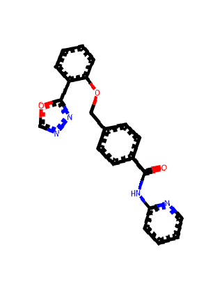 O=C(Nc1ccccn1)c1ccc(COc2ccccc2-c2nnco2)cc1